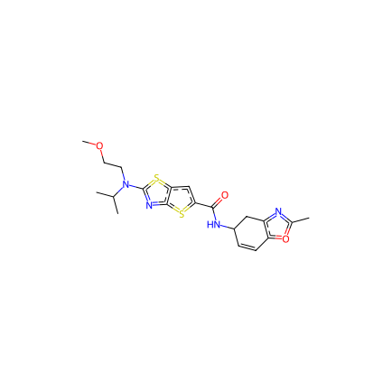 COCCN(c1nc2sc(C(=O)NC3C=Cc4oc(C)nc4C3)cc2s1)C(C)C